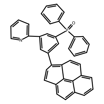 O=P(c1ccccc1)(c1ccccc1)c1cc(-c2ccccn2)cc(-c2ccc3ccc4cccc5ccc2c3c45)c1